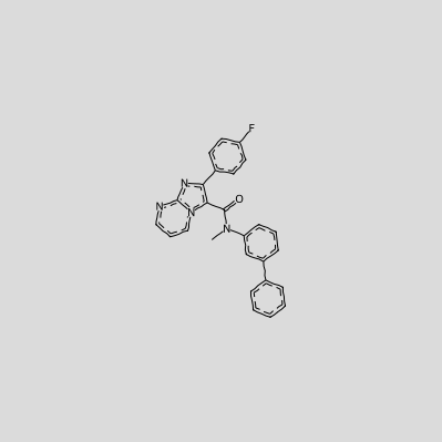 CN(C(=O)c1c(-c2ccc(F)cc2)nc2ncccn12)c1cccc(-c2ccccc2)c1